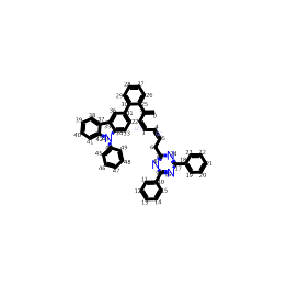 C=C(/C=C\C=C/Cc1nc(-c2ccccc2)nc(-c2ccccc2)n1)c1ccccc1-c1ccc2c(c1)c1ccccc1n2-c1ccccc1